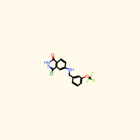 O=c1[nH]nc(Cl)c2cc(NCc3cccc(OC(F)(F)F)c3)ccc12